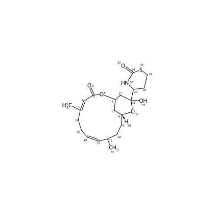 C/C1=C/C(=O)OC2C[C@@H](CCC(C)/C=C\CC1)OC(O)(C1CCSC(=O)N1)C2